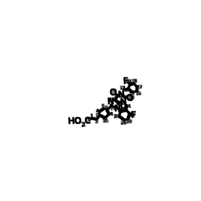 O=C(O)/C=C/c1ccc(-c2nc3c(=O)n(Cc4ccccc4F)c(=O)n(Cc4ccccc4F)c3[nH]2)cc1